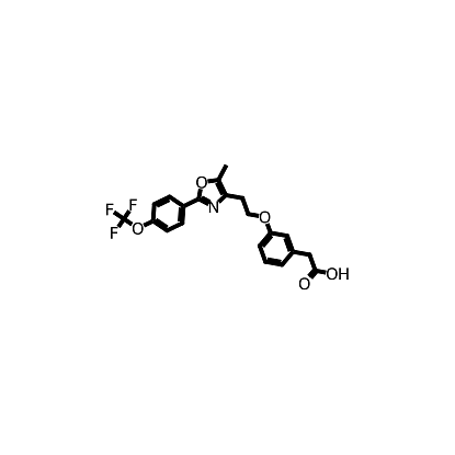 Cc1oc(-c2ccc(OC(F)(F)F)cc2)nc1CCOc1cccc(CC(=O)O)c1